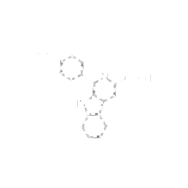 O=C(O)c1cc2c([nH]c3ccccc32)c(-c2ccc(C(F)(F)F)cc2)n1